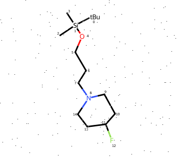 CC(C)(C)[Si](C)(C)OCCCN1CCC(F)CC1